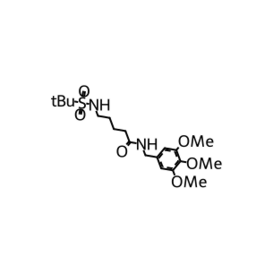 COc1cc(CNC(=O)CCCCNS(=O)(=O)C(C)(C)C)cc(OC)c1OC